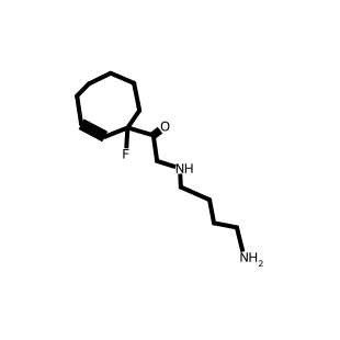 NCCCCNCC(=O)C1(F)C#CCCCCC1